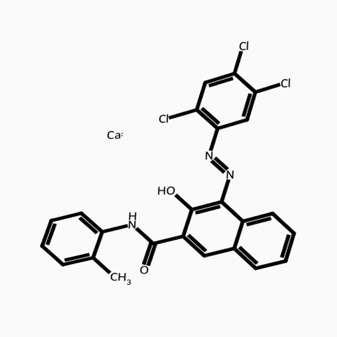 Cc1ccccc1NC(=O)c1cc2ccccc2c(N=Nc2cc(Cl)c(Cl)cc2Cl)c1O.[Ca]